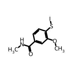 CNC(=O)c1ccc(SI)c(OC)c1